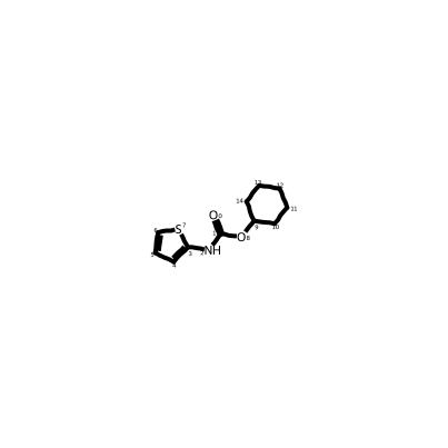 O=C(Nc1cccs1)OC1CCCCC1